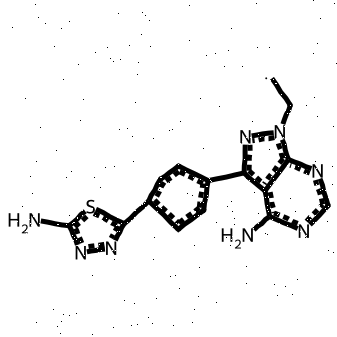 [CH2]Cn1nc(-c2ccc(-c3nnc(N)s3)cc2)c2c(N)ncnc21